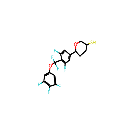 Fc1cc(OC(F)(F)c2c(F)cc(C3CCC(S)CO3)cc2F)cc(F)c1F